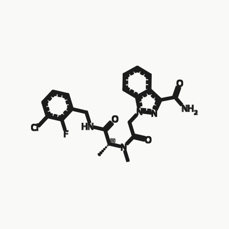 C[C@H](C(=O)NCc1cccc(Cl)c1F)N(C)C(=O)Cn1nc(C(N)=O)c2ccccc21